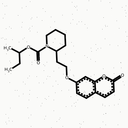 CCC(C)OC(=O)N1CCCCC1CCOc1ccc2ccc(=O)oc2c1